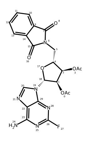 CC(=O)O[C@@H]1[C@H](OC(C)=O)[C@@H](CN2C(=O)c3ccccc3C2=O)O[C@H]1n1cnc2c(N)nc(F)nc21